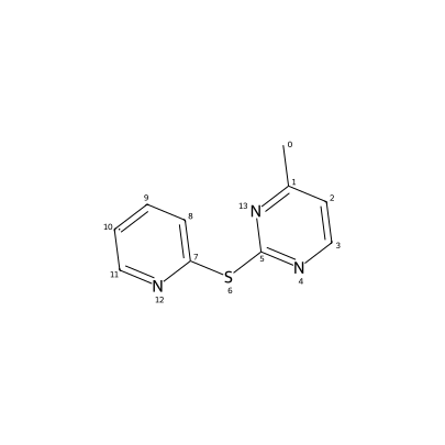 Cc1ccnc(Sc2cc[c]cn2)n1